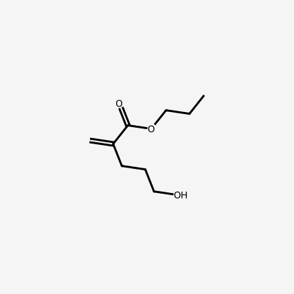 C=C(CCCO)C(=O)OCCC